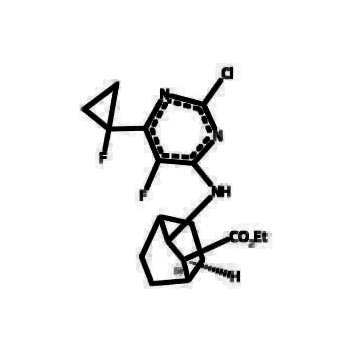 CCOC(=O)[C@H]1C2CCC(CC2)C1Nc1nc(Cl)nc(C2(F)CC2)c1F